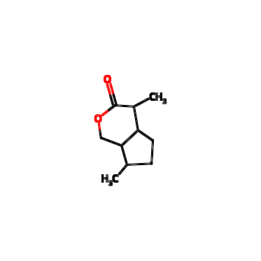 CC1CCC2C(C)C(=O)OCC12